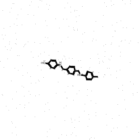 Cc1ccc(NCc2ccc(CNc3ccc(O)cc3)cc2)cc1